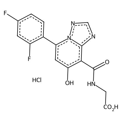 Cl.O=C(O)CNC(=O)c1c(O)cc(-c2ccc(F)cc2F)n2ncnc12